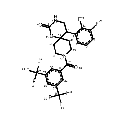 O=C1NCC(c2cccc(F)c2F)C2(CCN(C(=O)c3cc(C(F)(F)F)cc(C(F)(F)F)c3)CC2)O1